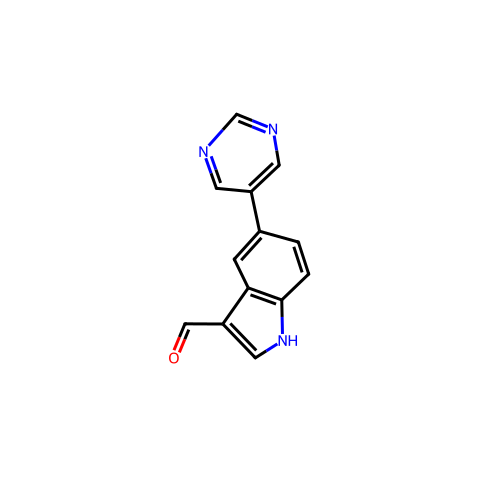 O=Cc1c[nH]c2ccc(-c3cncnc3)cc12